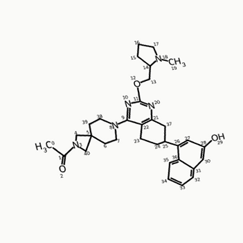 CC(=O)N1CC2(CCN(c3nc(OCC4CCCN4C)nc4c3CCC(c3cc(O)cc5ccccc35)C4)CC2)C1